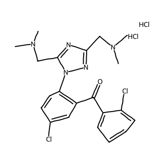 CN(C)Cc1nc(CN(C)C)n(-c2ccc(Cl)cc2C(=O)c2ccccc2Cl)n1.Cl.Cl